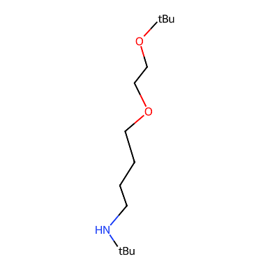 CC(C)(C)NCCCCOCCOC(C)(C)C